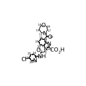 O=C(Cn1c(C(=O)O)nc2c(C(=O)N3CCCOCC3)cccc21)Nc1ccc(Cl)cn1